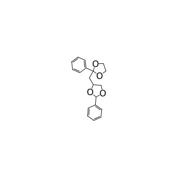 c1ccc(C2OCC(CC3(c4ccccc4)OCCO3)O2)cc1